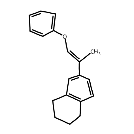 CC(=COc1ccccc1)c1ccc2c(c1)CCCC2